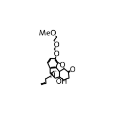 C=CCN1CC[C@]23c4c5ccc(OCOCCOC)c4OC2C(=O)CC[C@@]3(O)C1C5